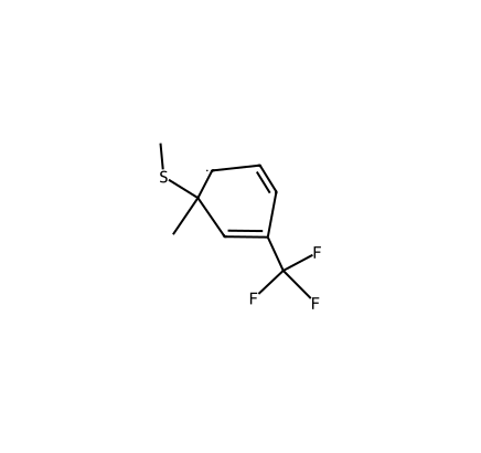 CSC1(C)[CH]C=CC(C(F)(F)F)=C1